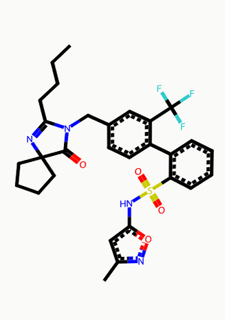 CCCCC1=NC2(CCCC2)C(=O)N1Cc1ccc(-c2ccccc2S(=O)(=O)Nc2cc(C)no2)c(C(F)(F)F)c1